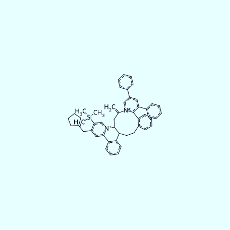 C=C1CC2C(CCc3ccccc3-c3c(-c4ccccc4)cc(-c4ccccc4)c[n+]31)c1ccccc1-c1cc(CC3CCCC3)c([Si](C)(C)C)c[n+]12